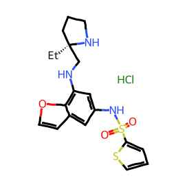 CC[C@]1(CNc2cc(NS(=O)(=O)c3cccs3)cc3ccoc23)CCCN1.Cl